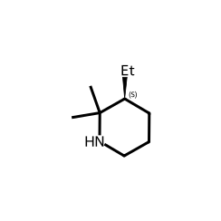 CC[C@H]1CCCNC1(C)C